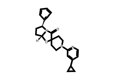 O=C1N2[C@@H](CC[C@H]2c2ccccc2)OC12CCN(c1cc(C3CC3)ccn1)CC2